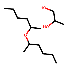 CC(O)CO.CCCCC(C)OC(C)CCCC